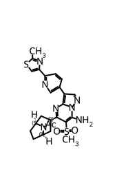 CC(=O)N1[C@@H]2CC[C@H]1C[C@@H](c1nc3c(-c4ccc(-c5csc(C)n5)nc4)cnn3c(N)c1S(C)(=O)=O)C2